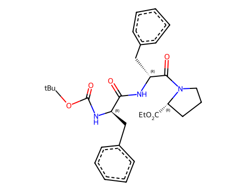 CCOC(=O)[C@H]1CCCN1C(=O)[C@@H](Cc1ccccc1)NC(=O)[C@@H](Cc1ccccc1)NC(=O)OC(C)(C)C